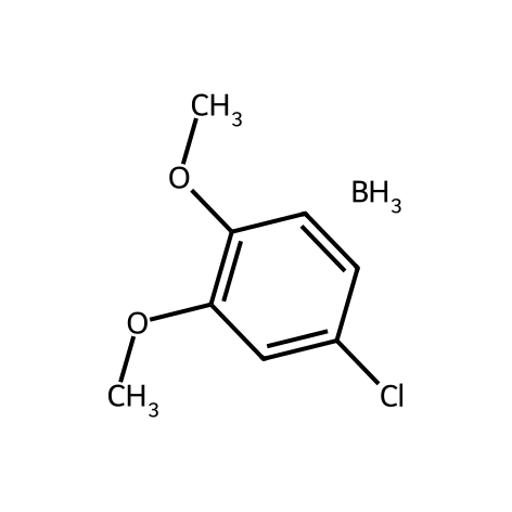 B.COc1ccc(Cl)cc1OC